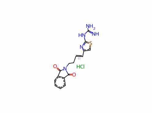 Cl.N=C(N)Nc1nc(/C=C/CCN2C(=O)c3ccccc3C2=O)cs1